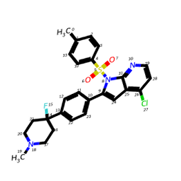 Cc1ccc(S(=O)(=O)n2c(-c3ccc(C4(F)CCN(C)CC4)cc3)cc3c(Cl)ccnc32)cc1